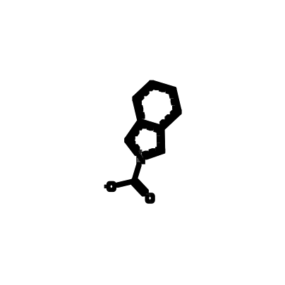 [O]C(=O)n1cc2ccccc2c1